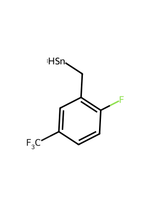 Fc1ccc(C(F)(F)F)cc1[CH2][SnH]